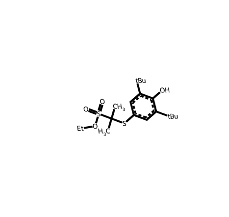 CCOS(=O)(=O)C(C)(C)Sc1cc(C(C)(C)C)c(O)c(C(C)(C)C)c1